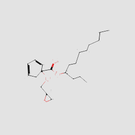 CCCCCCCCC(CCC)OC(=O)C1(OCC2CO2)C=CC=CC1